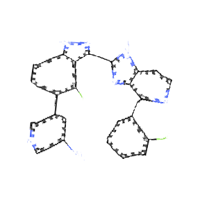 Nc1cncc(-c2ccc3[nH]nc(-c4nc5c(-c6ccccc6F)nccc5[nH]4)c3c2F)c1